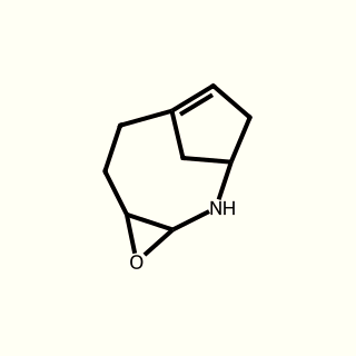 C1=C2CCC3OC3NC(C1)C2